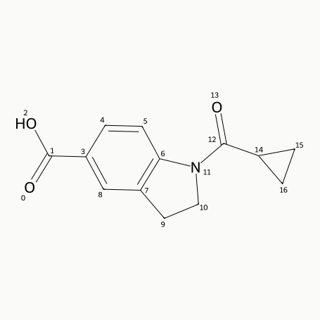 O=C(O)c1ccc2c(c1)CCN2C(=O)C1CC1